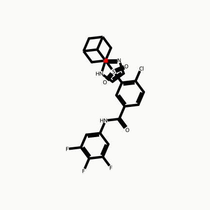 O=C(Nc1cc(F)c(F)c(F)c1)c1ccc(Cl)c(S(=O)(=O)C2CC3CC(C2)C3c2ncc[nH]2)c1